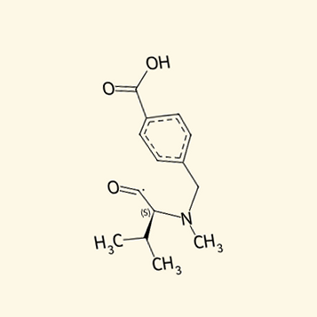 CC(C)[C@@H]([C]=O)N(C)Cc1ccc(C(=O)O)cc1